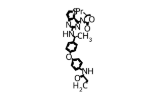 C=CC(=O)Nc1ccc(Oc2ccc([C@H](C)Nc3nc(N4C(=O)OC[C@@H]4C(C)C)c4sccc4n3)cc2)cc1